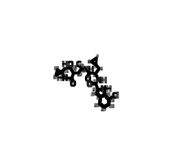 O=C(NC(CC1CC1)C(=O)NC(CC1CCC2(CC2)NC1=O)C(=O)O)c1cc2cccc(Cl)c2[nH]1